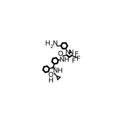 NCc1cccc(-n2nc(C(F)(F)F)cc2C(=O)Nc2cccc([C@@H](NCC3CC3)c3ccccc3O)c2)c1